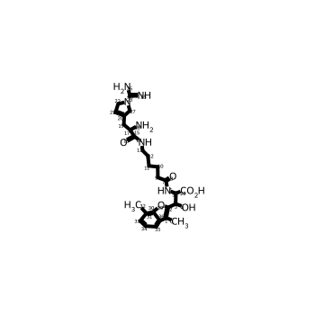 Cc1c(C(O)C(NC(=O)CCCCCNC(=O)C(N)CC2=CCN(C(=N)N)C2)C(=O)O)oc2c(C)cccc12